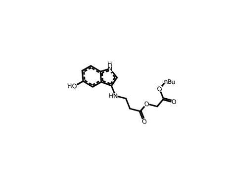 CCCCOC(=O)COC(=O)CCNc1c[nH]c2ccc(O)cc12